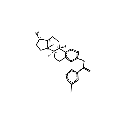 C=C(Oc1ccc2c(c1)CC[C@@H]1[C@@H]2CC[C@]2(C)[C@H](O)CC[C@@H]12)c1cccc(C)c1